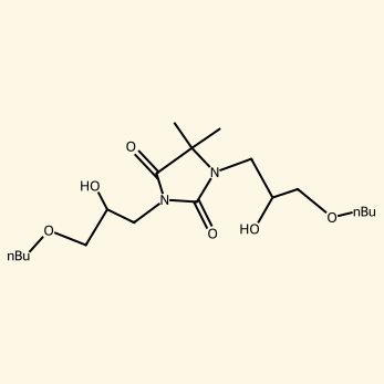 CCCCOCC(O)CN1C(=O)N(CC(O)COCCCC)C(C)(C)C1=O